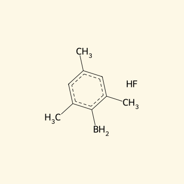 Bc1c(C)cc(C)cc1C.F